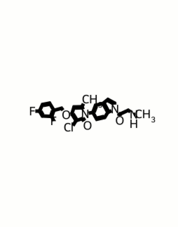 CNCC(=O)n1ccc2cc(-n3c(C)cc(OCc4ccc(F)cc4F)c(Cl)c3=O)ccc21